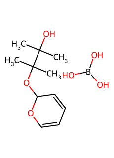 CC(C)(O)C(C)(C)OC1C=CC=CO1.OB(O)O